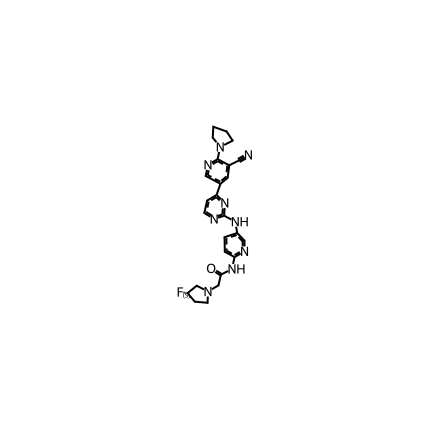 N#Cc1cc(-c2ccnc(Nc3ccc(NC(=O)CN4CC[C@H](F)C4)nc3)n2)cnc1N1CCCC1